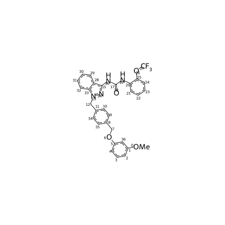 COc1cccc(OCc2ccc(Cn3nc(NC(=O)Nc4ccccc4OC(F)(F)F)c4ccccc43)cc2)c1